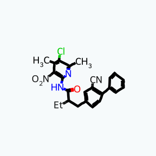 CCC(Cc1ccc(-c2ccccc2)c(C#N)c1)C(=O)Nc1nc(C)c(Cl)c(C)c1[N+](=O)[O-]